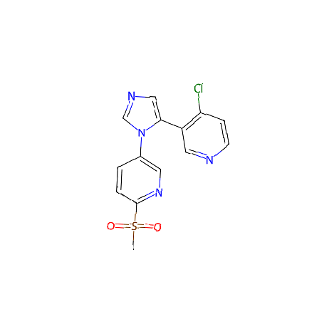 CS(=O)(=O)c1ccc(-n2cncc2-c2cnccc2Cl)cn1